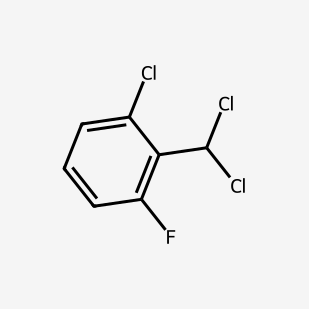 Fc1cccc(Cl)c1C(Cl)Cl